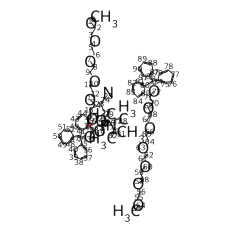 COCCOCCOCCOCCOCCOCC(OP(OCCC#N)N(C(C)C)C(C)C)OC(c1ccccc1)(c1ccccc1)c1ccccc1.COCCOCCOCCOCCOCCOCCOC(c1ccccc1)(c1ccccc1)c1ccccc1